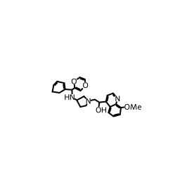 COc1cccc2c(C(O)CN3CCC(NC(C4=CC=CCC4)C4=COC=CO4)C3)ccnc12